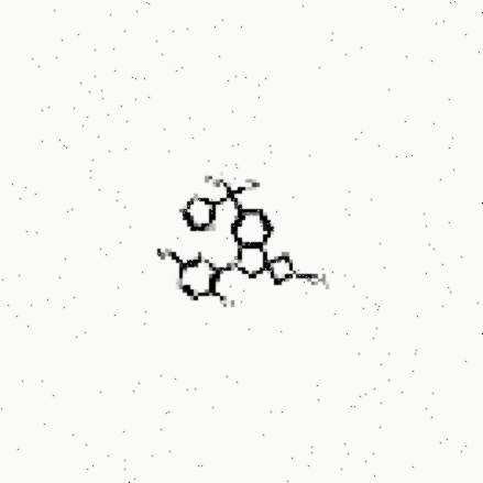 CN1CC2(C1)CN(c1nc(N)ncc1Cl)c1cc(C(C)(O)c3nccs3)ccc12